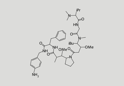 CCC(C)C(C(CC(=O)N1CCCC1C(OC)C(C)C(=O)NC(Cc1ccccc1)C(=O)NCc1ccc(N)cc1)OC)N(C)C(=O)CNC(=O)C(C(C)C)N(C)C